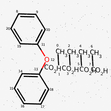 CC(=O)O.CC(=O)O.CC(=O)O.CC(=O)O.c1ccc(Oc2ccccc2)cc1